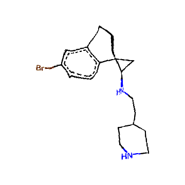 Brc1ccc2c(c1)CC[C@]21C[C@H]1NCC1CCNCC1